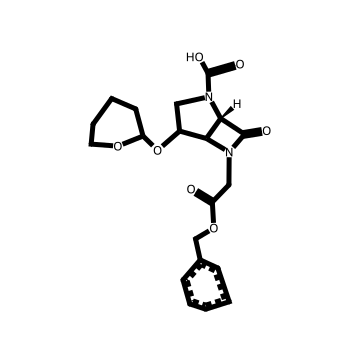 O=C(CN1C(=O)[C@@H]2C1C(OC1CCCCO1)CN2C(=O)O)OCc1ccccc1